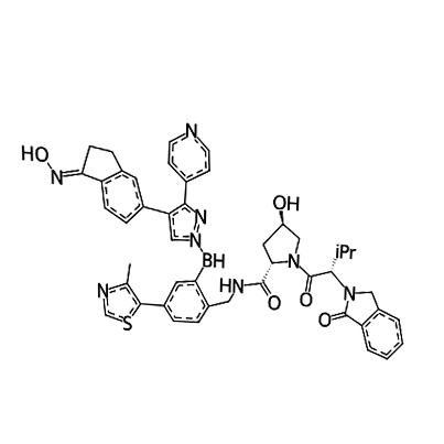 Cc1ncsc1-c1ccc(CNC(=O)[C@@H]2C[C@@H](O)CN2C(=O)[C@H](C(C)C)N2Cc3ccccc3C2=O)c(Bn2cc(-c3ccc4c(c3)CC/C4=N\O)c(-c3ccncc3)n2)c1